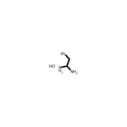 CC(C)CC(N)N.Cl